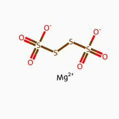 O=S(=O)([O-])SSS(=O)(=O)[O-].[Mg+2]